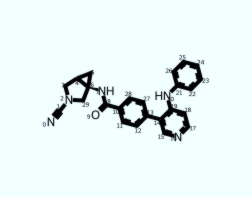 N#CN1CC2C[C@]2(NC(=O)c2ccc(-c3cnccc3Nc3ccccc3)cc2)C1